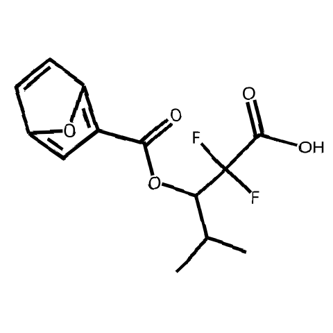 CC(C)C(OC(=O)c1cc2ccc1o2)C(F)(F)C(=O)O